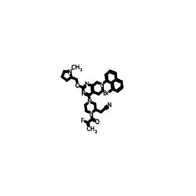 C=C(F)C(=O)N1CCN(c2nc(OCC3CCCN3C)nc3c2CCN(c2cccc4cccc(Br)c24)C3)CC1CC#N